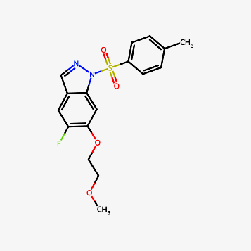 COCCOc1cc2c(cnn2S(=O)(=O)c2ccc(C)cc2)cc1F